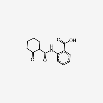 O=C(O)c1ccccc1NC(=O)C1CCCCC1=O